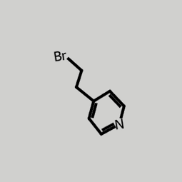 BrCCc1ccncc1